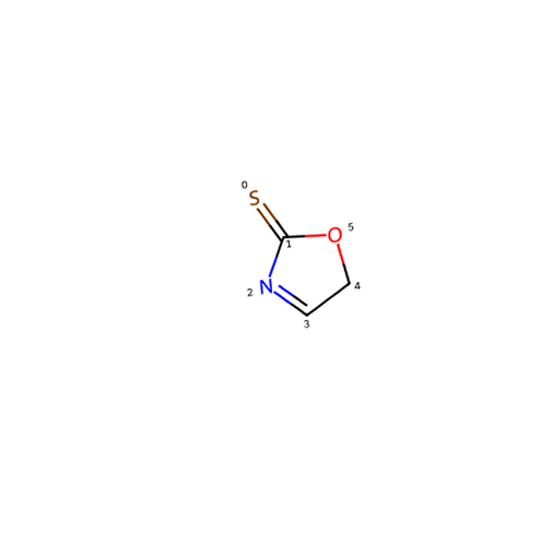 S=C1N=CCO1